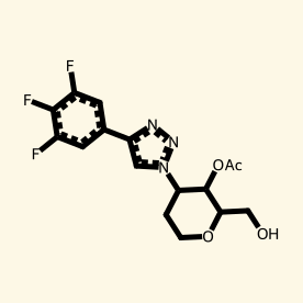 CC(=O)OC1C(CO)OCCC1n1cc(-c2cc(F)c(F)c(F)c2)nn1